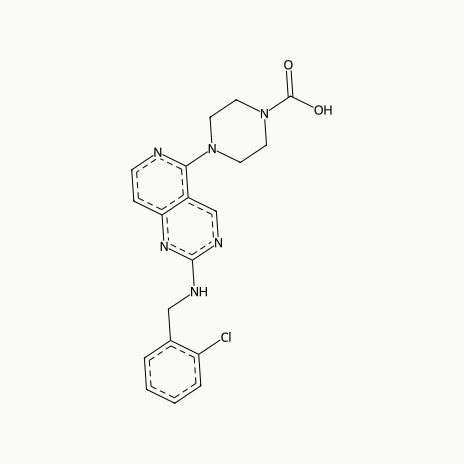 O=C(O)N1CCN(c2nccc3nc(NCc4ccccc4Cl)ncc23)CC1